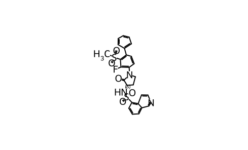 CS(=O)(=O)c1c(-c2ccccc2)ccc(N2CC[C@H](NS(=O)(=O)c3cccc4cnccc34)C2=O)c1F